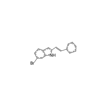 Brc1ccc2cc(/C=C/c3ccccc3)[nH]c2c1